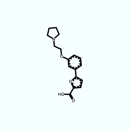 O=C(O)c1ccc(-c2cccc(OCCN3CCCC3)c2)o1